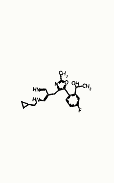 Cc1nc(C/C(C=N)=C/NCC2CC2)c(-c2ccc(F)cc2C(C)O)o1